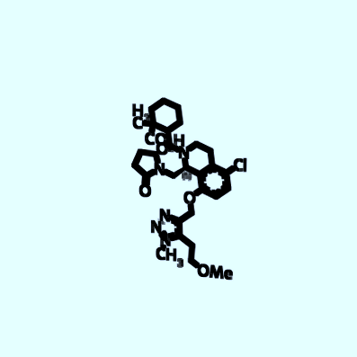 COCCc1c(COc2ccc(Cl)c3c2[C@@H](CN2CCCC2=O)N(C(=O)C2CCCCC2(C)C(=O)O)CC3)nnn1C